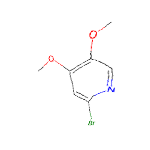 COc1cnc(Br)cc1OC